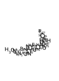 CN1CCN(CCOc2ncc3c(Oc4ccc(NC(=O)C5(C(=O)Nc6ccc(F)cc6)CC5)cc4F)ccnc3c2Br)CC1